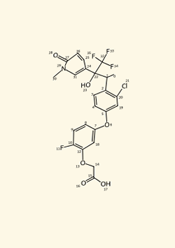 CC(c1ccc(Oc2ccc(F)c(OCC(=O)O)c2)cc1Cl)C(O)(c1ccc(=O)n(C)c1)C(F)(F)F